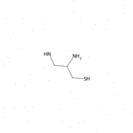 [NH]CC(N)CS